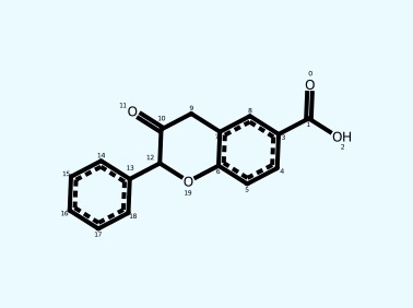 O=C(O)c1ccc2c(c1)CC(=O)C(c1ccccc1)O2